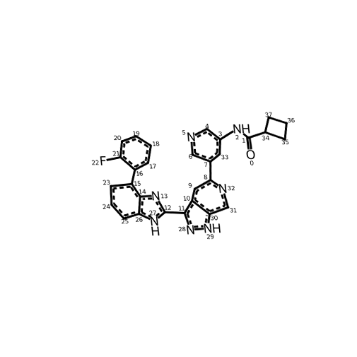 O=C(Nc1cncc(-c2cc3c(-c4nc5c(-c6ccccc6F)cccc5[nH]4)n[nH]c3cn2)c1)C1CCC1